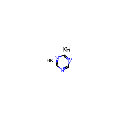 [KH].[KH].c1ncncn1